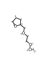 COCCOCC1CCCO1